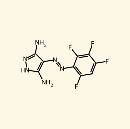 Nc1n[nH]c(N)c1N=Nc1c(F)cc(F)c(F)c1F